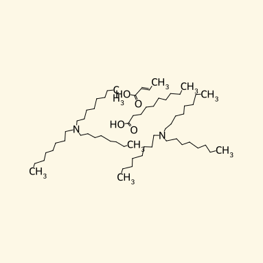 CC=CC(=O)O.CCCCCCCCCC(=O)O.CCCCCCCCN(CCCCCCCC)CCCCCCCC.CCCCCCCCN(CCCCCCCC)CCCCCCCC